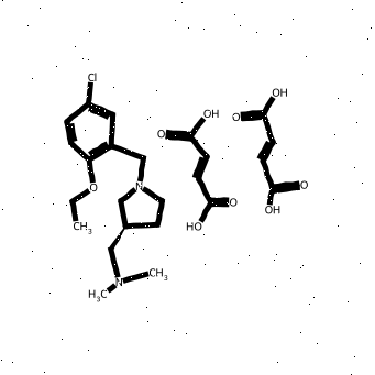 CCOc1ccc(Cl)cc1CN1CC[C@@H](CN(C)C)C1.O=C(O)/C=C/C(=O)O.O=C(O)/C=C/C(=O)O